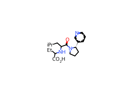 CCC(NC(CC(C)C)C(=O)N1CCC[C@H]1c1cccnc1)C(=O)O